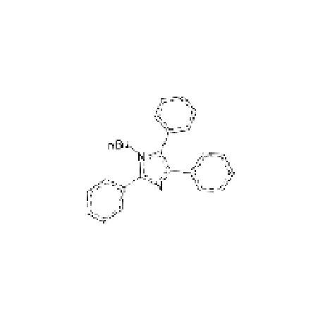 CCCCn1c(-c2ccccc2)nc(-c2ccccc2)c1-c1ccccc1